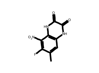 Cc1cc2[nH]c(=O)c(=O)[nH]c2c([N+](=O)[O-])c1F